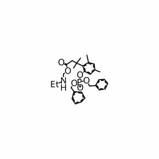 CCNCOC(=O)CC(C)(C)c1c(C)cc(C)cc1OP(=O)(OCc1ccccc1)OCc1ccccc1